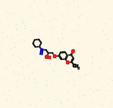 Cc1cc(=O)c2ccc(OCC(O)CNC3CCCCC3)cc2o1